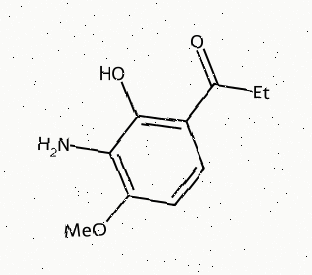 CCC(=O)c1ccc(OC)c(N)c1O